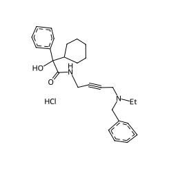 CCN(CC#CCNC(=O)C(O)(c1ccccc1)C1CCCCC1)Cc1ccccc1.Cl